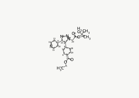 CCOC(=O)c1ccc(-c2c(-c3ccncc3)nnn2CC(=O)OC(C)(C)C)cc1